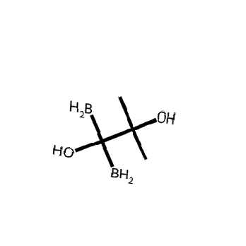 BC(B)(O)C(C)(C)O